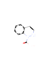 O=C(O)N1NC=Cc2ccccc21